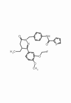 CCC1CC(=O)N(Cc2ccc(NC(=O)c3cccs3)cc2)N=C1c1ccc(OC)c(OCF)c1